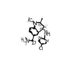 CC(=O)N1c2ccc(C(N)=O)cc2[C@H](Nc2ncc(Cl)cn2)[C@@H](C)[C@@H]1C